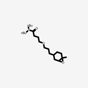 CCCCN(CCCC)C(=O)CCCOCCCC1CCC2(C)OC2C1